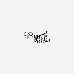 COCC[C@]1(C)C(=O)c2c(O)c(=O)c(C(=O)NCc3cccc(Cl)c3F)cn2C[C@@H]1OC